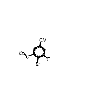 CCOc1cc(C#N)cc(F)c1Br